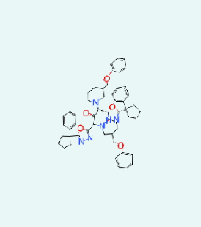 O=C(C(c1nnc(C2(c3ccccc3)CCCC2)o1)N1CCCC(COc2ccccc2)C1)C(c1nnc(C2(c3ccccc3)CCCC2)o1)N1CCCC(COc2ccccc2)C1